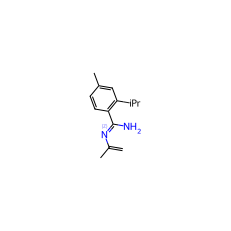 C=C(C)/N=C(\N)c1ccc(C)cc1C(C)C